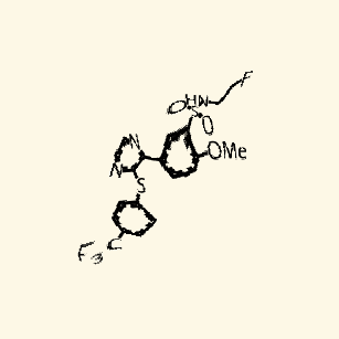 COc1ccc(-c2nccnc2Sc2ccc(C(F)(F)F)cc2)cc1S(=O)(=O)NCCF